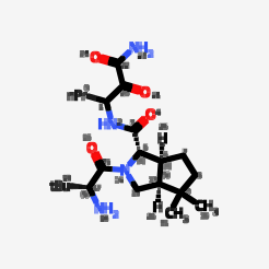 CCCC(NC(=O)[C@@H]1[C@H]2CCC(C)(C)[C@H]2CN1C(=O)[C@@H](N)C(C)(C)C)C(=O)C(N)=O